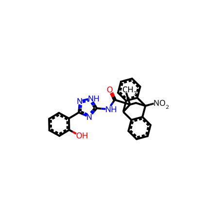 CC1(C(=O)Nc2nc(-c3ccccc3O)n[nH]2)CC2([N+](=O)[O-])c3ccccc3C1c1ccccc12